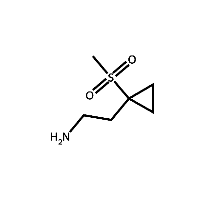 CS(=O)(=O)C1(CCN)CC1